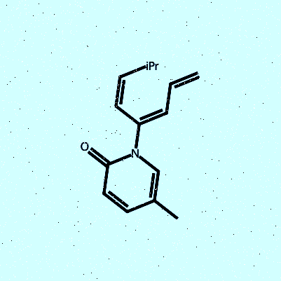 C=C/C=C(\C=C/C(C)C)n1cc(C)ccc1=O